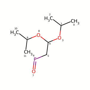 CC(C)OC(CP=O)OC(C)C